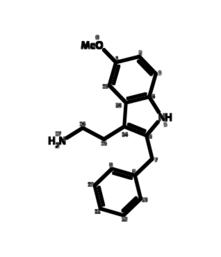 COc1ccc2[nH]c(Cc3ccccc3)c(CCN)c2c1